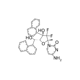 C[C@@]1(n2ccc(N)nc2=O)O[C@H](C(O)c2cccc3ccccc23)[C@](O)(c2cccc3ccccc23)C1(F)F